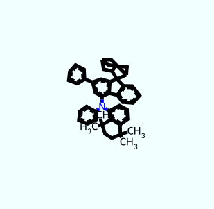 CC1(C)CCC(C)(C)c2c(N(c3ccccc3)c3cc(-c4ccccc4)cc4c3-c3ccccc3C43C4CC5CC(C4)C3C5)cccc21